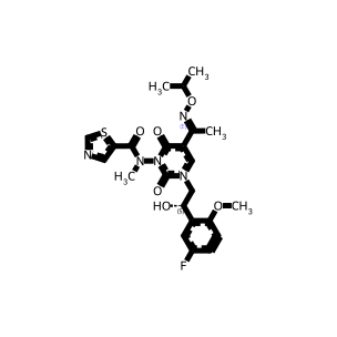 COc1c#cc(F)cc1[C@H](O)Cn1cc(/C(C)=N/OC(C)C)c(=O)n(N(C)C(=O)c2cncs2)c1=O